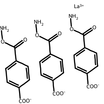 NOC(=O)c1ccc(C(=O)[O-])cc1.NOC(=O)c1ccc(C(=O)[O-])cc1.NOC(=O)c1ccc(C(=O)[O-])cc1.[La+3]